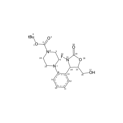 CC(C)(C)OC(=O)N1CCN(c2ccccc2C2C(CO)OC(=O)N2F)CC1